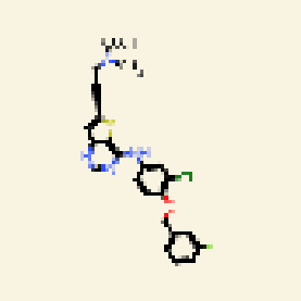 CN(CC#Cc1cc2ncnc(Nc3ccc(OCc4cccc(F)c4)c(Cl)c3)c2s1)C(=O)O